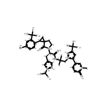 Cn1cc(-c2cc(C(F)(F)F)nn2CC(C)(C)NC(=O)[C@@H](Cc2cnn(C(F)F)c2)N2CCC3(CC3c3ccc(Br)cc3C(F)(F)F)C2=O)ccc1=O